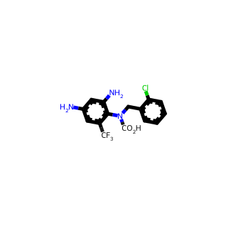 Nc1cc(N)c(N(Cc2ccccc2Cl)C(=O)O)c(C(F)(F)F)c1